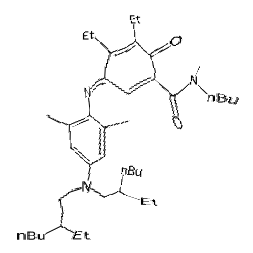 CCCCC(CC)CN(CC(CC)CCCC)c1cc(C)c(N=C2C=C(C(=O)N(C)CCCC)C(=O)C(CC)=C2CC)c(C)c1